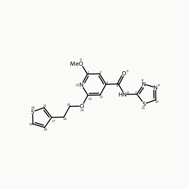 COc1cc(C(=O)Nc2nncs2)cc(OCCc2ccsc2)n1